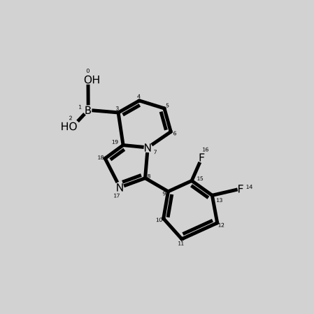 OB(O)c1cccn2c(-c3cccc(F)c3F)ncc12